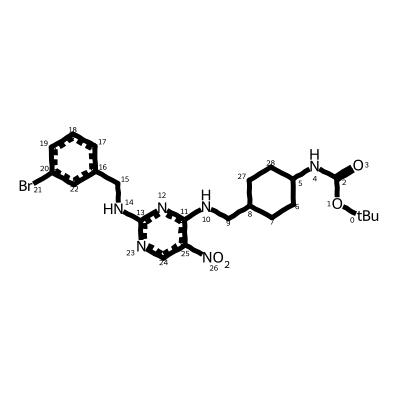 CC(C)(C)OC(=O)NC1CCC(CNc2nc(NCc3cccc(Br)c3)ncc2[N+](=O)[O-])CC1